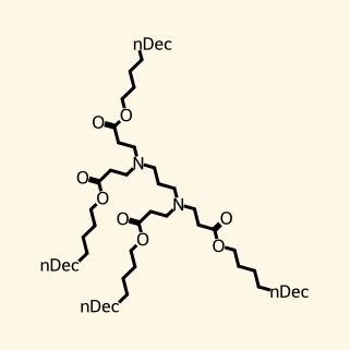 CCCCCCCCCCCCCCOC(=O)CCN(CCCN(CCC(=O)OCCCCCCCCCCCCCC)CCC(=O)OCCCCCCCCCCCCCC)CCC(=O)OCCCCCCCCCCCCCC